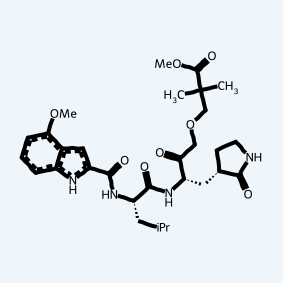 COC(=O)C(C)(C)COCC(=O)[C@H](C[C@@H]1CCNC1=O)NC(=O)[C@H](CC(C)C)NC(=O)c1cc2c(OC)cccc2[nH]1